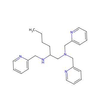 CCCCC(CN(Cc1ccccn1)Cc1ccccn1)NCc1ccccn1